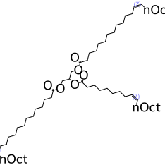 CCCCCCCC/C=C\CCCCCCCCCCCC(=O)OCC(COC(=O)CCCCCCCCCCC/C=C\CCCCCCCC)OC(=O)CCCCCCC/C=C\CCCCCCCC